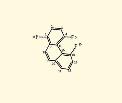 Fc1[c]cc(F)c2c1ccc1c[c]cc(F)c12